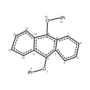 CC(C)Oc1c2ccccc2c(OC(C)C)c2ccccc12